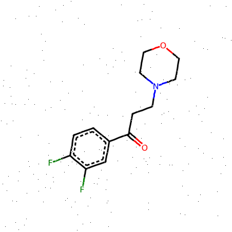 O=C(CCN1CCOCC1)c1ccc(F)c(F)c1